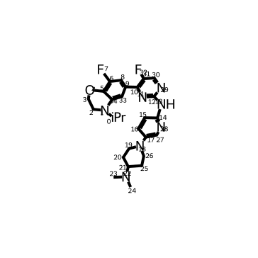 CC(C)N1CCOc2c(F)cc(-c3nc(Nc4ccc(N5CCC(N(C)C)CC5)cn4)ncc3F)cc21